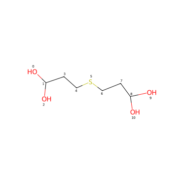 OC(O)CCSCCC(O)O